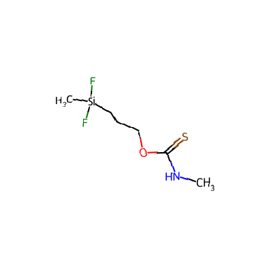 CNC(=S)OCCC[Si](C)(F)F